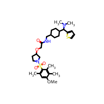 COc1cc(C)c(S(=O)(=O)N2CCC(OCC(=O)NCC3CCC(C(c4cccs4)N(C)C)CC3)C2)c(C)c1C